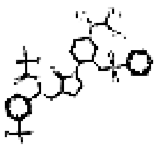 CC(C)N(C)[C@@H]1CC[C@H](N2CCC(C[C@H](OC(=O)C(F)(F)F)c3cccc(C(F)(F)F)c3)C2=O)[C@H](CS(=O)(=O)c2ccccc2)C1